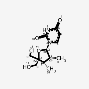 C[C@@H]1[C@H](n2ccc(=O)[nH]c2=O)O[C@@](CO)(CCl)[C@H]1C